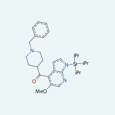 COc1cnc2c(ccn2[Si](C(C)C)(C(C)C)C(C)C)c1C(=O)C1CCN(Cc2ccccc2)CC1